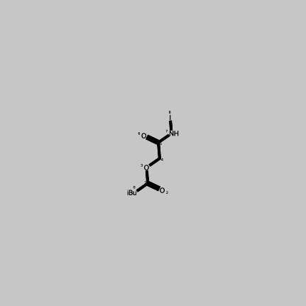 CCC(C)C(=O)OCC(=O)NI